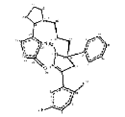 CC(=O)N1N=C(c2cc(F)ccc2F)C[C@@]1(CCCN1CCCC1c1n[nH]c(=O)[nH]1)c1ccccc1